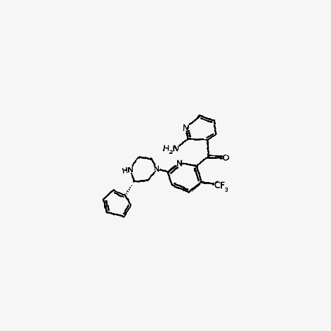 Nc1ncccc1C(=O)c1nc(N2CCN[C@@H](c3ccccc3)C2)ccc1C(F)(F)F